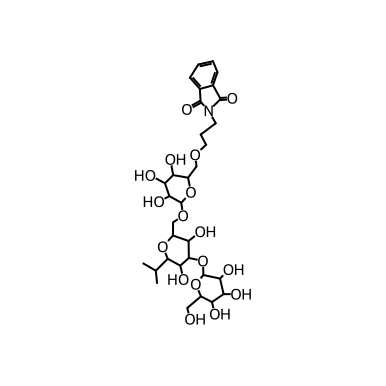 CC(C)C1OC(COC2OC(COCCCN3C(=O)c4ccccc4C3=O)C(O)C(O)C2O)C(O)C(OC2OC(CO)C(O)C(O)C2O)C1O